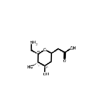 NC[C@H]1OC(CC(=O)O)C[C@@H](O)[C@@H]1O